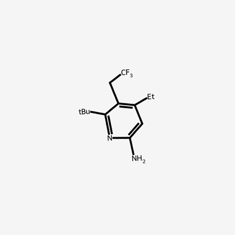 CCc1cc(N)nc(C(C)(C)C)c1CC(F)(F)F